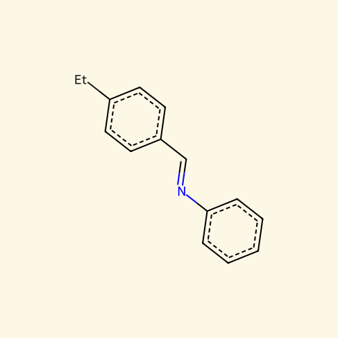 CCc1ccc(/C=N/c2ccccc2)cc1